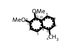 COc1ccc2c(C)cccc2c1OC